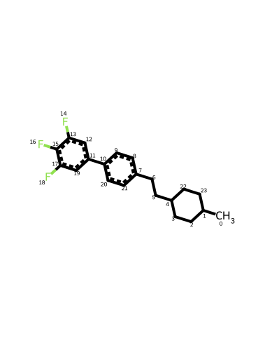 CC1CCC(CCc2ccc(-c3cc(F)c(F)c(F)c3)cc2)CC1